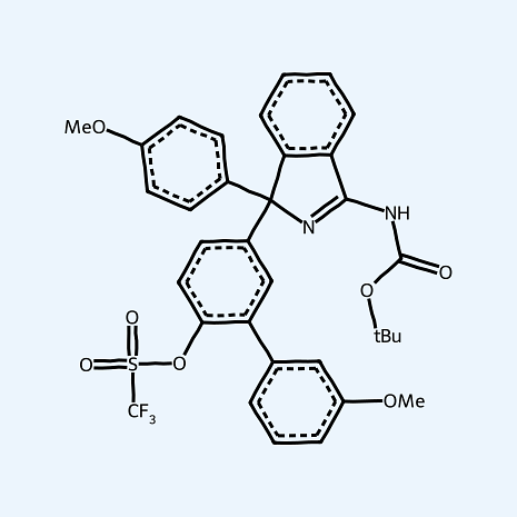 COc1ccc(C2(c3ccc(OS(=O)(=O)C(F)(F)F)c(-c4cccc(OC)c4)c3)N=C(NC(=O)OC(C)(C)C)c3ccccc32)cc1